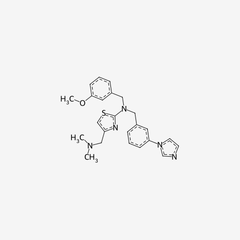 COc1cccc(CN(Cc2cccc(-n3ccnc3)c2)c2nc(CN(C)C)cs2)c1